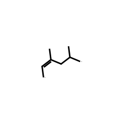 [CH2]C=C(C)CC([CH2])C